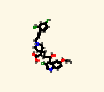 COc1ccc2ncc(Cl)c(C(O)CCC3(CC(=O)O)CCN(CC#Cc4ccc(F)cc4Cl)CC3)c2c1